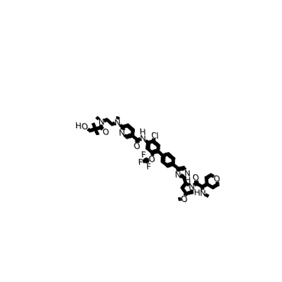 CNC(C(=O)N1CC(OC)CC1c1nc(-c2ccc(-c3cc(Cl)c(NC(=O)c4ccc(N(C)CCN(C)C(=O)C(C)(C)CO)nc4)cc3OC(F)(F)F)cc2)c[nH]1)C1CCOCC1